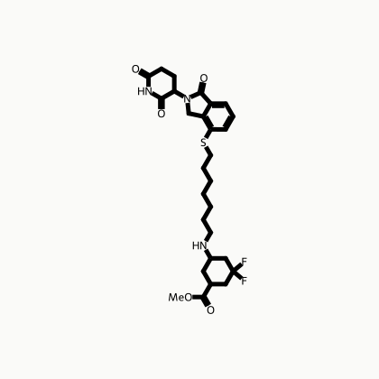 COC(=O)C1CC(NCCCCCCCSc2cccc3c2CN(C2CCC(=O)NC2=O)C3=O)CC(F)(F)C1